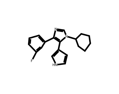 Fc1cccc(-c2ncn(C3CCCCC3)c2-c2cc[nH]c2)c1